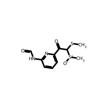 CSC(C(=O)c1cccc(NC=O)n1)[S+](C)[O-]